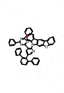 c1ccc(-c2nc(-c3ccccc3)nc(-c3cc(-c4c(-c5ccccc5)cccc4-c4ccccc4)cnc3-n3c4ccccc4c4cc5c(cc43)oc3ccccc35)n2)cc1